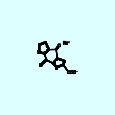 O=C([O-])c1cc2c(s1)C(=O)c1sccc1C2=O.[Na+]